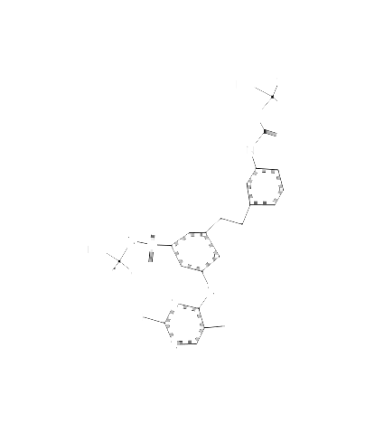 CC(C)(C)NS(=O)(=O)c1cc(CCc2cccc(NC(=O)OC(C)(C)C)c2)cc(Nc2nc(Cl)ncc2Cl)c1